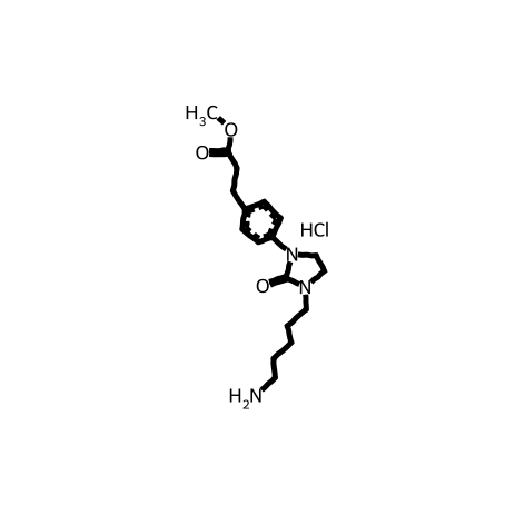 COC(=O)CCc1ccc(N2CCN(CCCCCN)C2=O)cc1.Cl